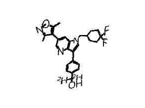 [2H]C([2H])(O)c1ccc(-c2cn(CC3CCC(F)(F)CC3)c3cc(-c4c(C)noc4C)cnc23)cc1